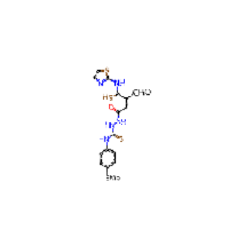 CSc1ccc(NC(=S)NNC(=O)CC(C=O)C(S)Nc2nccs2)cc1